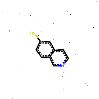 Sc1ccc2cnccc2c1